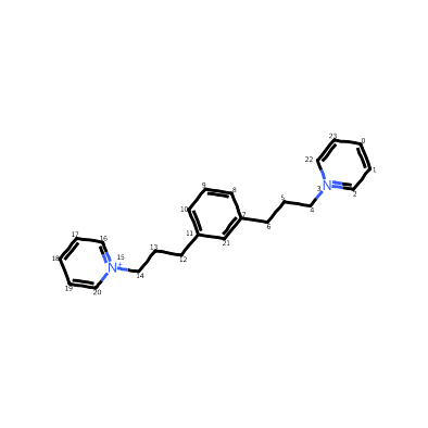 c1cc[n+](CCCc2cccc(CCC[n+]3ccccc3)c2)cc1